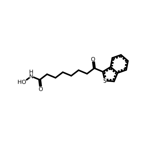 O=C(CCCCCCC(=O)c1scc2ccccc12)NO